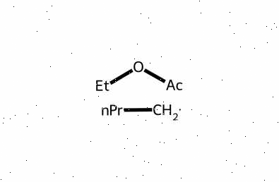 CCOC(C)=O.[CH2]CCC